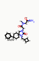 CNC1(c2ccccc2)CCC2(CC1)CN(CC(=O)N(C)CC(N)=O)C(=O)N2CC1CCC1